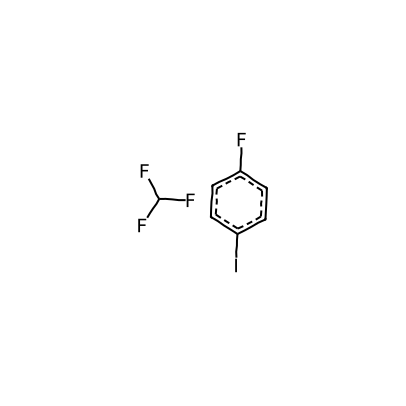 FC(F)F.Fc1ccc(I)cc1